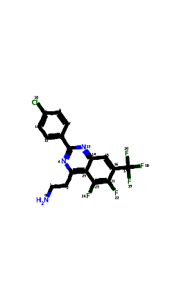 NCCc1nc(-c2ccc(Cl)cc2)nc2cc(C(F)(F)F)c(F)c(F)c12